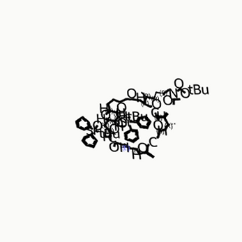 C=C1C[C@@H]2/C=C/C(O)C[C@H]3O[C@H]4[C@@H](O[Si](c5ccccc5)(c5ccccc5)C(C)(C)C)[C@H]5OC(CC[C@@H]5O[C@H]4[C@H]3O[Si](c3ccccc3)(c3ccccc3)C(C)(C)C)CC(=O)C[C@H]3C(C[C@H]4O[C@@H](CCC1O2)C[C@@H](C)C4=C)O[C@H](C[C@H]1CN(C(=O)OC(C)(C)C)C(C)(C)O1)[C@@H]3C